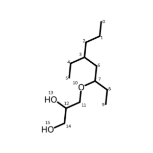 CCCC(CC)CC(CC)OCC(O)CO